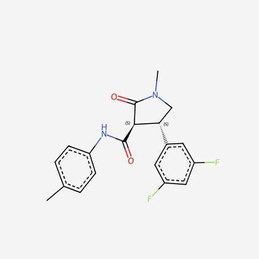 Cc1ccc(NC(=O)[C@H]2C(=O)N(C)C[C@@H]2c2cc(F)cc(F)c2)cc1